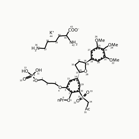 CCCOc1c(OCCCOP(=O)(O)O)cc([C@@H]2CC[C@@H](c3cc(OC)c(OC)c(OC)c3)O2)cc1S(=O)(=O)CC(C)=O.NCCCCC(N)C(=O)[O-].[K+]